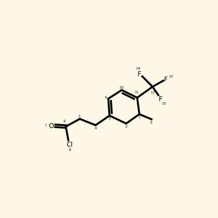 CC1CC(CCC(=O)Cl)=CC=C1C(F)(F)F